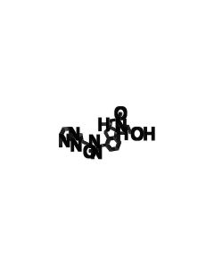 O=C1C[C@H]2Cc3c(-c4noc(-c5cn6cccnc6n5)n4)cccc3[C@H]2N1CCO